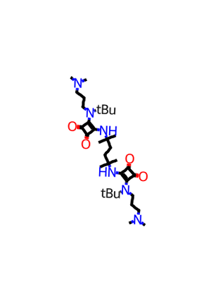 CN(C)CCCN(c1c(NC(C)(C)CCC(C)(C)Nc2c(N(CCCN(C)C)C(C)(C)C)c(=O)c2=O)c(=O)c1=O)C(C)(C)C